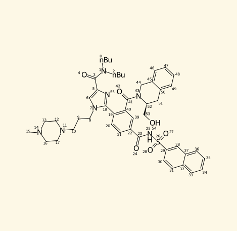 CCCCN(CCCC)C(=O)c1cn(CCCN2CCN(C)CC2)c(-c2ccc(C(=O)NS(=O)(=O)c3ccc4ccccc4c3)cc2C(=O)N2Cc3ccccc3C[C@H]2CO)n1